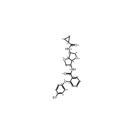 CCc1ccc(Oc2ccccc2C(=O)NC2COC3C(NC(=O)C4CC4)COC23)cc1